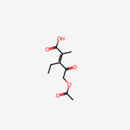 CC/C(C(=O)COC(C)=O)=C(/C)C(=O)O